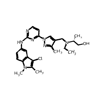 CCN(Cc1cn(-c2ccnc(Nc3ccc4c(c3)c(Cl)c(C)n4C)n2)nc1C)[C@H](C)CO